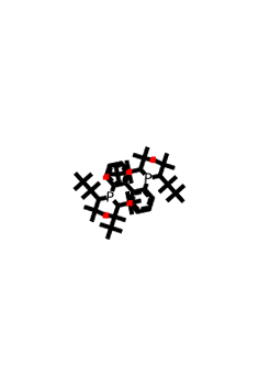 CC(C)(C)C(P(c1ccccc1-c1ccccc1P(C(C(C)(C)C)C(C)(C)C(C)(C)C)C(C(C)(C)C)C(C)(C)C(C)(C)C)C(C(C)(C)C)C(C)(C)C(C)(C)C)C(C)(C)C(C)(C)C